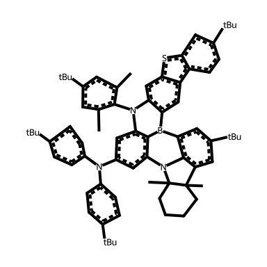 Cc1cc(C(C)(C)C)cc(C)c1N1c2cc3sc4cc(C(C)(C)C)ccc4c3cc2B2c3cc(C(C)(C)C)cc4c3N(c3cc(N(c5ccc(C(C)(C)C)cc5)c5ccc(C(C)(C)C)cc5)cc1c32)C1(C)CCCCC41C